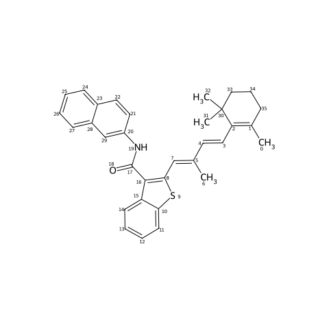 CC1=C(C=C/C(C)=C/c2sc3ccccc3c2C(=O)Nc2ccc3ccccc3c2)C(C)(C)CCC1